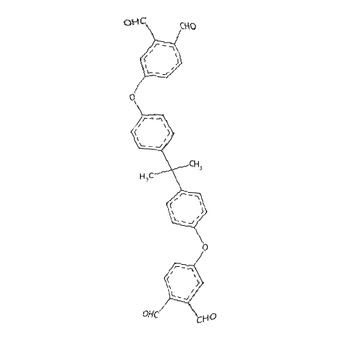 CC(C)(c1ccc(Oc2ccc(C=O)c(C=O)c2)cc1)c1ccc(Oc2ccc(C=O)c(C=O)c2)cc1